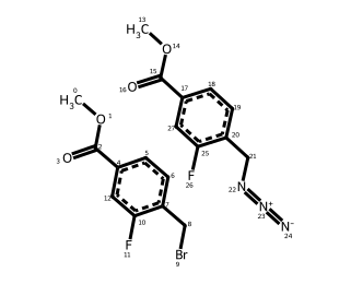 COC(=O)c1ccc(CBr)c(F)c1.COC(=O)c1ccc(CN=[N+]=[N-])c(F)c1